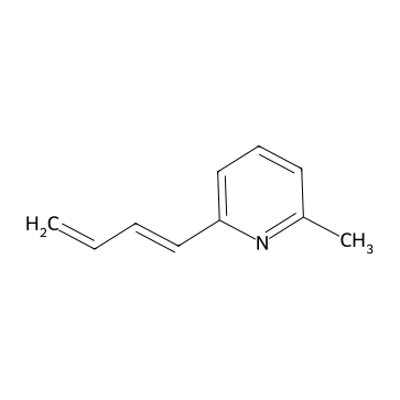 C=CC=Cc1cccc(C)n1